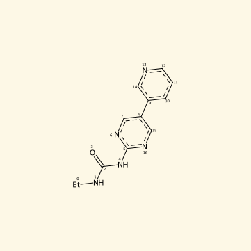 CCNC(=O)Nc1ncc(-c2cccnc2)cn1